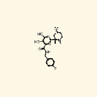 CC(=O)N1CCN(C)C(C)(c2nc(O)c(O)c(C(=O)NCc3ccc(F)cc3)n2)C1